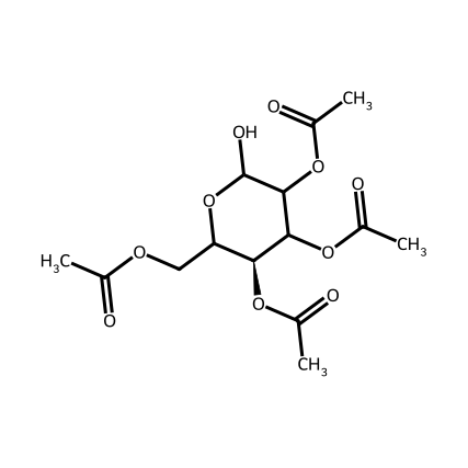 CC(=O)OCC1OC(O)C(OC(C)=O)C(OC(C)=O)[C@H]1OC(C)=O